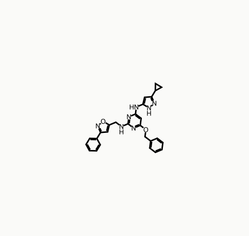 c1ccc(COc2cc(Nc3cc(C4CC4)n[nH]3)nc(NCc3cc(-c4ccccc4)no3)n2)cc1